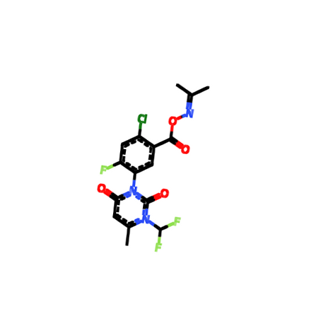 CC(C)=NOC(=O)c1cc(-n2c(=O)cc(C)n(C(F)F)c2=O)c(F)cc1Cl